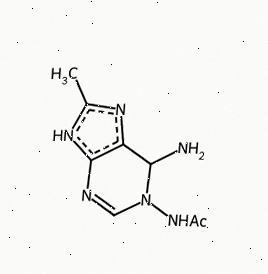 CC(=O)NN1C=Nc2[nH]c(C)nc2C1N